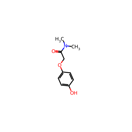 CN(C)C(=O)COc1ccc(O)cc1